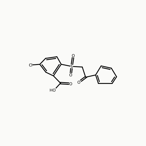 O=C(CS(=O)(=O)c1ccc(Cl)cc1C(=O)O)c1ccccc1